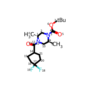 C[C@@H]1CN(C(=O)OC(C)(C)C)[C@@H](C)CN1C(=O)C1CCC(F)(F)CC1